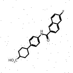 O=C(Nc1ccc(C2CCC(C(=O)O)CC2)cc1)c1ccc2cc(F)ccc2c1